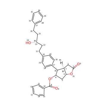 O=C1C[C@H]2C(CC(OC(=O)c3ccccc3)C2c2ccc(CC[C@H](O)CCc3ccccc3)cc2)O1